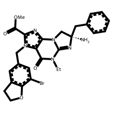 CCN1C(=O)c2c(nc(C(=O)OC)n2Cc2cc(Br)c3c(c2)CCO3)N2C[C@@](N)(Cc3ccccc3)N=C12